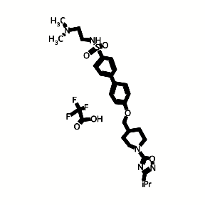 CC(C)c1noc(N2CCC(COc3ccc(-c4ccc(S(=O)(=O)NCCN(C)C)cc4)cc3)CC2)n1.O=C(O)C(F)(F)F